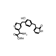 COC(=O)C(N)c1cncc(Cc2ccc(Cc3ccc[nH]c3=O)cc2)c1.Cl